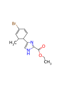 CCOC(=O)c1nc(C2C=CC(Br)=CC2C)c[nH]1